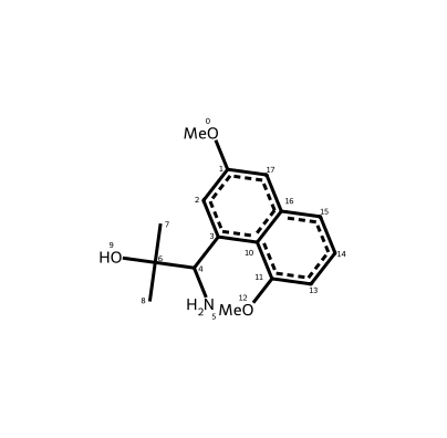 COc1cc(C(N)C(C)(C)O)c2c(OC)cccc2c1